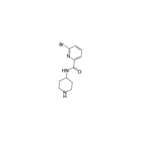 O=C(NC1CCNCC1)c1cccc(Br)n1